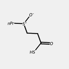 CCC[S+]([O-])CCC(=O)S